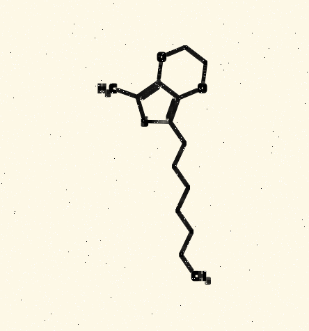 CCCCCCCc1sc(C)c2c1OCCO2